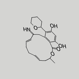 CC1C/C=C/CC/C=C/C(=N)Cc2c(c(O)cc(O)c2C2CCCCO2)C(=O)O1